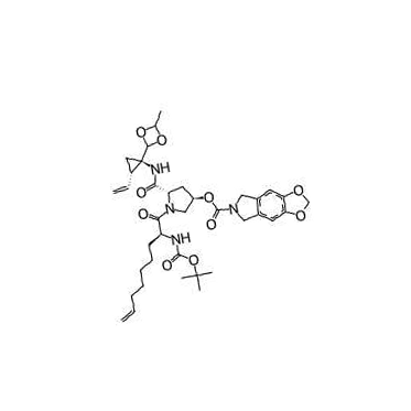 C=CCCCCC[C@H](NC(=O)OC(C)(C)C)C(=O)N1C[C@H](OC(=O)N2Cc3cc4c(cc3C2)OCO4)C[C@H]1C(=O)N[C@]1(C2OC(C)O2)C[C@H]1C=C